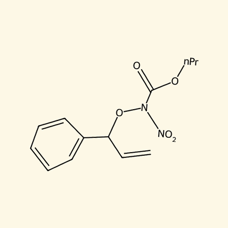 C=CC(ON(C(=O)OCCC)[N+](=O)[O-])c1ccccc1